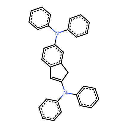 C1=C(N(c2ccccc2)c2ccccc2)Cc2cc(N(c3ccccc3)c3ccccc3)ccc21